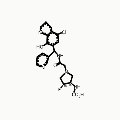 O=C(O)N[C@@H]1CN(CC(=O)NC(c2cccnc2)c2cc(Cl)c3cccnc3c2O)C[C@@H]1F